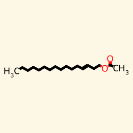 CCCCCCCCCCCCC=CCCOC(C)=O